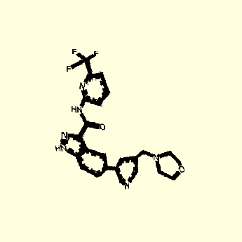 O=C(Nc1cccc(C(F)(F)F)n1)c1n[nH]c2ccc(-c3cncc(CN4CCOCC4)c3)cc12